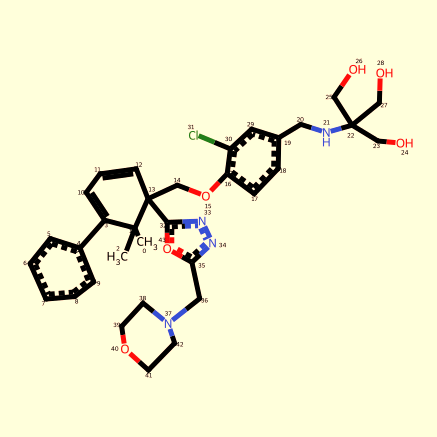 CC1(C)C(c2ccccc2)=CC=CC1(COc1ccc(CNC(CO)(CO)CO)cc1Cl)c1nnc(CN2CCOCC2)o1